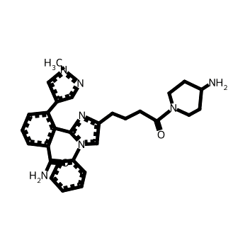 Cn1cc(-c2cccc(C(N)=O)c2-c2nc(CCCC(=O)N3CCC(N)CC3)cn2-c2ccccc2)cn1